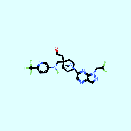 O=CCC1(CN(F)c2ccc(C(F)(F)F)nc2)CC2CCC1CN2c1cnc2cnn(CC(F)F)c2n1